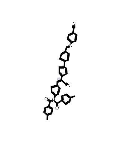 Cc1ccc(C(=O)N(C(=O)c2ccc(C)cc2)c2ccc(/C=C(\C#N)c3ccc(-c4ccc(C=Nc5ccc(C#N)cc5)cc4)cc3)cc2)cc1